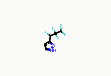 FC(F)C(F)(F)C(F)c1cc[nH]n1